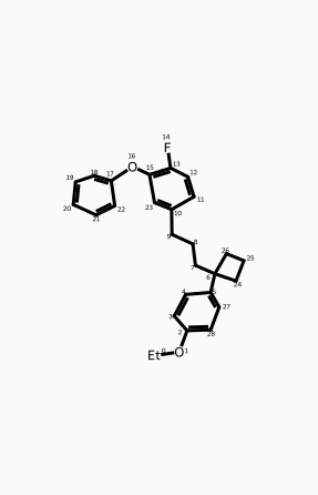 CCOc1ccc(C2(CCCc3ccc(F)c(Oc4ccccc4)c3)CCC2)cc1